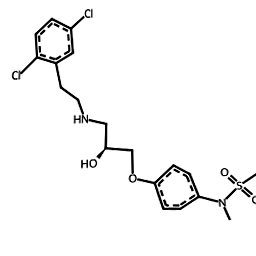 CN(c1ccc(OC[C@@H](O)CNCCc2cc(Cl)ccc2Cl)cc1)S(C)(=O)=O